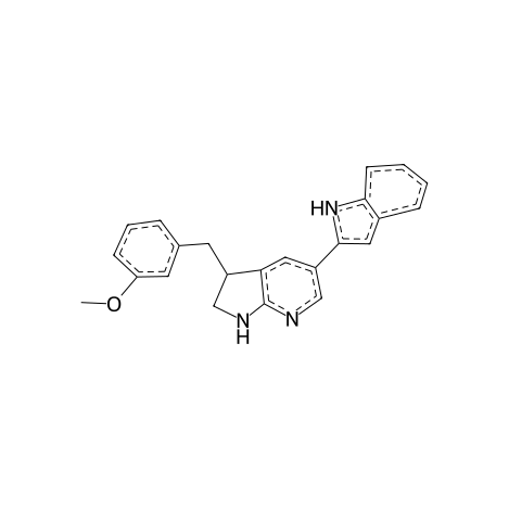 COc1cccc(CC2CNc3ncc(-c4cc5ccccc5[nH]4)cc32)c1